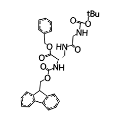 CC(C)(C)OC(=O)NCC(=O)NC[C@H](NC(=O)OCC1c2ccccc2-c2ccccc21)C(=O)OCc1ccccc1